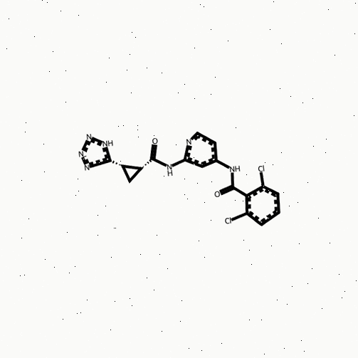 O=C(Nc1ccnc(NC(=O)[C@@H]2C[C@@H]2c2nnn[nH]2)c1)c1c(Cl)cccc1Cl